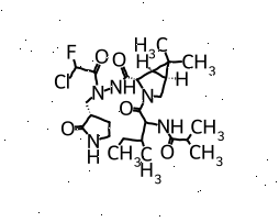 CCC(C)C(NC(=O)C(C)C)C(=O)N1C[C@H]2[C@@H]([C@H]1C(=O)NN(C[C@@H]1CCNC1=O)C(=O)C(F)Cl)C2(C)C